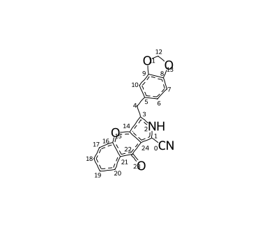 N#Cc1[nH]c(Cc2ccc3c(c2)OCO3)c2oc3ccccc3c(=O)c12